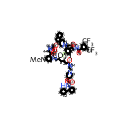 CNc1ccc(N(CCCCCC(=O)N(C)CCN2CCC(OC(=O)Nc3ccccc3-c3ccccc3)CC2)C(=O)O)c(C(=O)[C@H](C)N(C)C(=O)CO[C@H]2Cc3ccccc3C23CCN(CC[C@]2(c4ccc(F)cc4)CN(C(=O)c4cc(C(F)(F)F)cc(C(F)(F)F)c4)CO2)CC3)c1